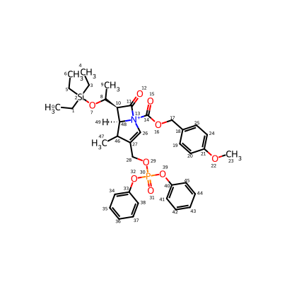 CC[Si](CC)(CC)OC(C)[C@H]1C(=O)[N+]2(C(=O)OCc3ccc(OC)cc3)C=C(COP(=O)(Oc3ccccc3)Oc3ccccc3)C(C)[C@@H]12